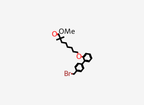 COC(=O)C(C)(C)CCCCCCOc1ccccc1-c1ccc(CBr)cc1